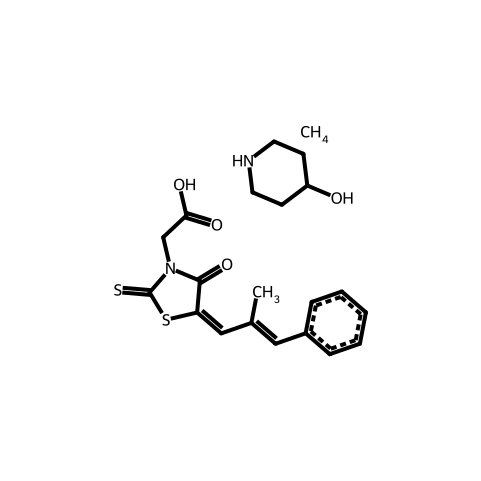 C.CC(=C\c1ccccc1)/C=C1/SC(=S)N(CC(=O)O)C1=O.OC1CCNCC1